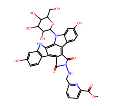 COC(=O)c1cccc(CNN2C(=O)c3c(c4c5ccc(O)cc5n(C5OC(CO)C(O)C(O)C5O)c4c4[nH]c5cc(O)ccc5c34)C2=O)n1